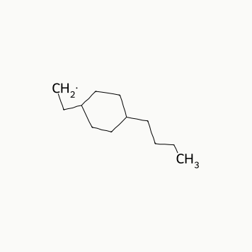 [CH2]CC1CCC(CCCC)CC1